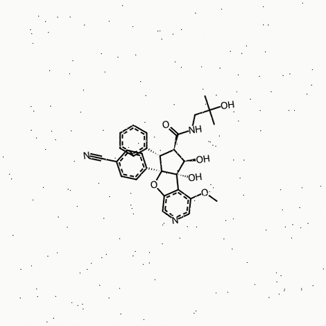 COc1cncc2c1[C@]1(O)[C@H](O)[C@H](C(=O)NCC(C)(C)O)[C@@H](c3ccccc3)[C@]1(c1ccc(C#N)cc1)O2